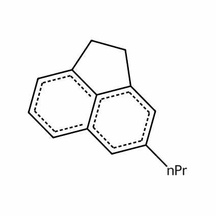 CCCc1cc2c3c(cccc3c1)CC2